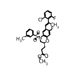 COC(=O)CC[C@H]1CN(S(=O)(=O)c2cccc(C)c2)c2cc(/C=C(\C)c3c(F)cccc3Cl)c(F)cc2O1